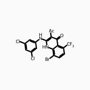 CC(=O)c1c(Nc2cc(Cl)cc(Cl)c2)[nH]c2c(Br)ccc(C(F)(F)F)c2c1=O